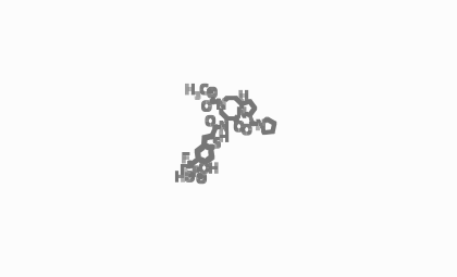 COC(=O)N1CC[C@H]2CC[C@@H](C(=O)N3CCCC3)N2C(=O)[C@@H](NC(=O)c2cc3cc(C(F)(F)P(=O)(O)O)ccc3s2)C1